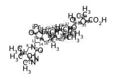 Cc1nnc(C(=O)N(CCN(C)C)CC[C@@]23CC[C@]4(C)[C@H](CC[C@@H]5[C@@]6(C)CC[C@H](OC(=O)[C@H]7C[C@@H](C(=O)O)C7(C)C)C(C)(C)[C@@H]6CC[C@]54C)C2=C(C(C)C)C(=O)C3)o1